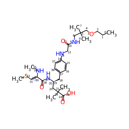 CCCOCC(C)(C)CNC(=O)CNc1ccc(C[C@@H](CC(C)(C)C(=O)O)NC(=O)/C(=C/SC)NC)cc1